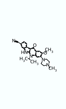 COc1cc2c(=O)c3c4ccc(C#N)cc4[nH]c3n(C(C)C)c2cc1N1CCN(C)CC1